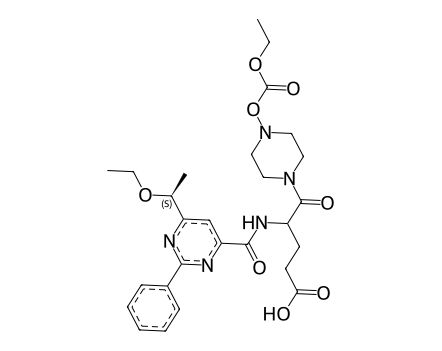 CCOC(=O)ON1CCN(C(=O)C(CCC(=O)O)NC(=O)c2cc([C@H](C)OCC)nc(-c3ccccc3)n2)CC1